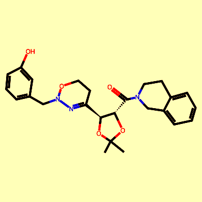 CC1(C)O[C@@H](C(=O)N2CCc3ccccc3C2)[C@H](C2=NN(Cc3cccc(O)c3)OCC2)O1